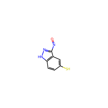 O=Nc1n[nH]c2ccc(S)cc12